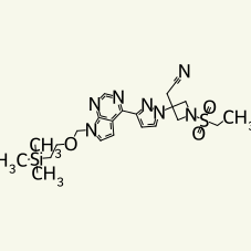 CCS(=O)(=O)N1CC(CC#N)(n2ccc(-c3ncnc4c3ccn4COCC[Si](C)(C)C)n2)C1